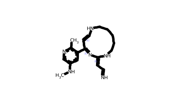 CNc1cnc(C)c(C2=N/C(=C/C=N)NCCCCCN\C=C\2)c1